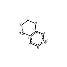 c1cc2c(cn1)CCCS2